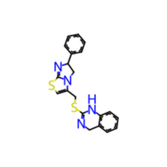 C1=C(CSC2=NCc3ccccc3N2)N2CC(c3ccccc3)N=C2S1